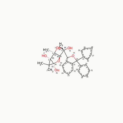 CC1(C)[C@@]2(O)[C@@](C)(O)[C@@H]([C@](C)(O)COC(c3ccccc3)(c3ccccc3)c3ccccc3)O[C@@]12O